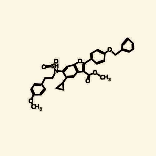 COC(=O)c1c(-c2ccc(OCc3ccccc3)cc2)oc2cc(N(CCc3ccc(OC)cc3)[SH](=O)=O)c(C3CC3)cc12